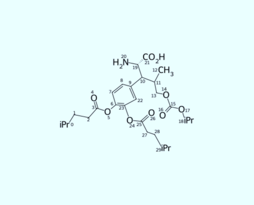 CC(C)CCC(=O)Oc1ccc(C(C(C)COC(=O)OC(C)C)[C@H](N)C(=O)O)cc1OC(=O)CCC(C)C